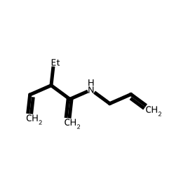 C=CCNC(=C)C(C=C)CC